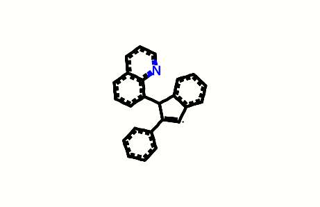 [C]1=C(c2ccccc2)C(c2cccc3cccnc23)c2ccccc21